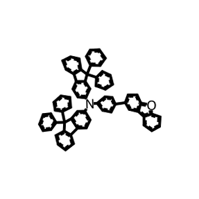 c1ccc(C2(c3ccccc3)c3ccccc3-c3ccc(N(c4ccc(-c5ccc6oc7ccccc7c6c5)cc4)c4ccc5c(c4)C(c4ccccc4)(c4ccccc4)c4ccccc4-5)cc32)cc1